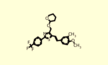 COc1ccc(C=Cc2sc(-c3ccc(C(F)(F)F)cc3)nc2COC2CCCCO2)cc1C